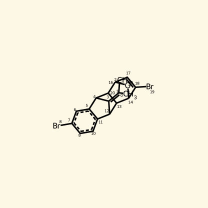 CC(C)=C1C2c3cc(Br)ccc3C1C1C3OC(C=C3Br)C21